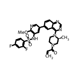 C=CC(=O)N1CCN(c2ncnc3ccc(-c4cnc(OC)c(NS(=O)(=O)c5ccc(F)cc5F)c4)cc23)[C@@H](C)C1